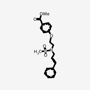 COC(=O)c1ccc(OCCN(CC=Cc2ccccc2)S(C)(=O)=O)cc1